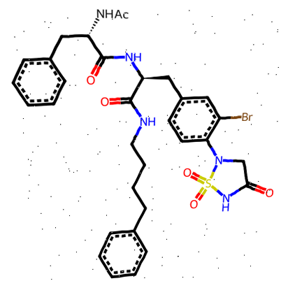 CC(=O)N[C@@H](Cc1ccccc1)C(=O)N[C@@H](Cc1ccc(N2CC(=O)NS2(=O)=O)c(Br)c1)C(=O)NCCCCc1ccccc1